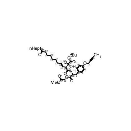 CC#CCOc1ccc(C[C@H](NC(=O)[C@@H](/C=C/CCCCCCC(=O)CCCCCCC)C(O)(O)C(=O)OC(C)(C)C)C(=O)OCC(=O)OC)cc1